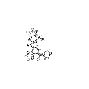 CCOc1nc(Nc2ccc(C(=O)N3CCOCC3)c3c2OCCO3)nc2[nH]cnc12